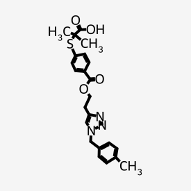 Cc1ccc(Cn2cc(CCOC(=O)c3ccc(SC(C)(C)C(=O)O)cc3)nn2)cc1